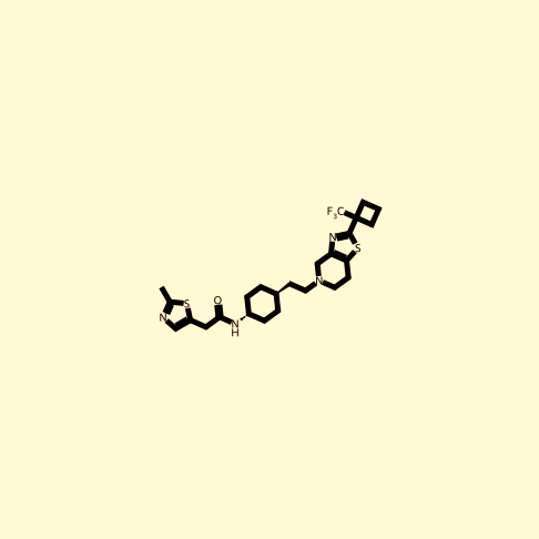 Cc1ncc(CC(=O)N[C@H]2CC[C@H](CCN3CCc4sc(C5(C(F)(F)F)CCC5)nc4C3)CC2)s1